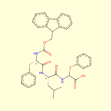 CC(C)C[C@H](NC(=O)[C@H](Cc1ccccc1)NC(=O)OCC1c2ccccc2-c2ccccc21)C(=O)NC(Sc1ccccc1)C(=O)O